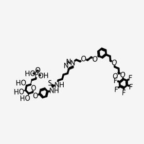 O=C(CCOCCc1cccc(OCCOCCn2cc(CCCCNC(=S)Nc3ccc(O[C@H]4O[C@H](CCP(=O)(O)O)[C@@H](O)[C@H](O)[C@@H]4O)cc3)nn2)c1)Oc1c(F)c(F)c(F)c(F)c1F